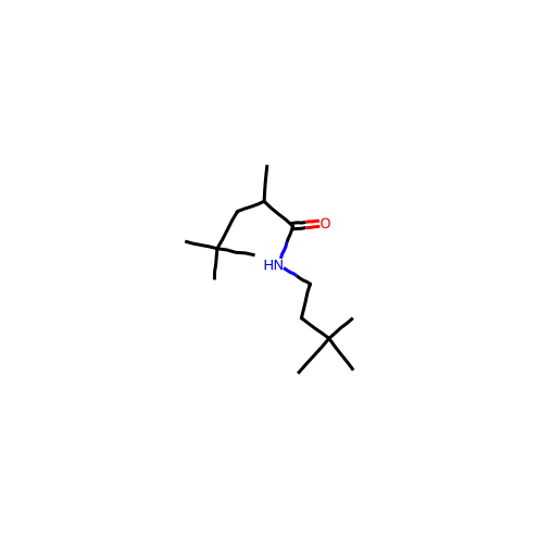 CC(CC(C)(C)C)C(=O)NCCC(C)(C)C